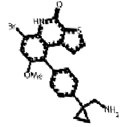 COc1cc(Br)c2[nH]c(=O)c3sccc3c2c1-c1ccc(C2(CN)CC2)cc1